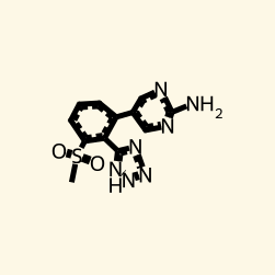 CS(=O)(=O)c1cccc(-c2cnc(N)nc2)c1-c1nnn[nH]1